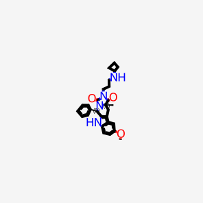 COc1ccc2[nH]c3c(c2c1)C[C@@]1(C)C(=O)N(CCCNC2CCC2)C(=O)N1[C@@H]3c1ccccc1